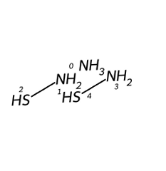 N.NS.NS